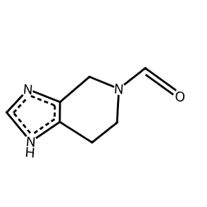 O=CN1CCc2[nH]cnc2C1